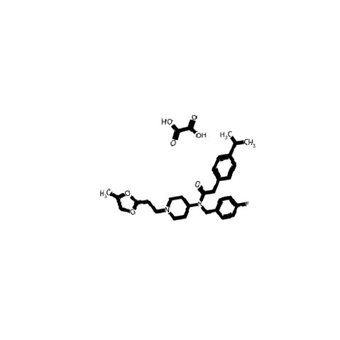 CC1COC(CCN2CCC(N(Cc3ccc(F)cc3)C(=O)Cc3ccc(C(C)C)cc3)CC2)O1.O=C(O)C(=O)O